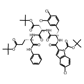 CC(C)(C)OC(=O)CC[C@H](NC(=O)[C@H](CC(=O)OC(C)(C)C)NC(=O)[C@H](Cc1ccc(Cl)c(Cl)c1)NC(=O)c1cc2cc(Cl)ccc2n1C(=O)OC(C)(C)C)C(=O)Nc1ccccc1